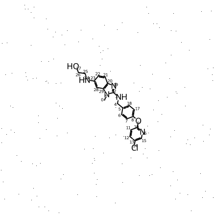 Cn1c(NCc2ccc(Oc3ccc(Cl)cn3)cc2)nc2ccc(NCCO)cc21